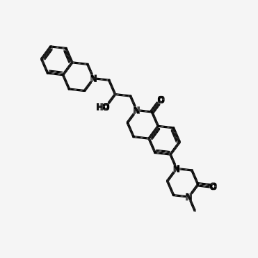 CN1CCN(c2ccc3c(c2)CCN(CC(O)CN2CCc4ccccc4C2)C3=O)CC1=O